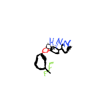 CC(F)(F)c1cccc(Oc2ccc(-c3cccnc3N)cc2)c1.[Cu]